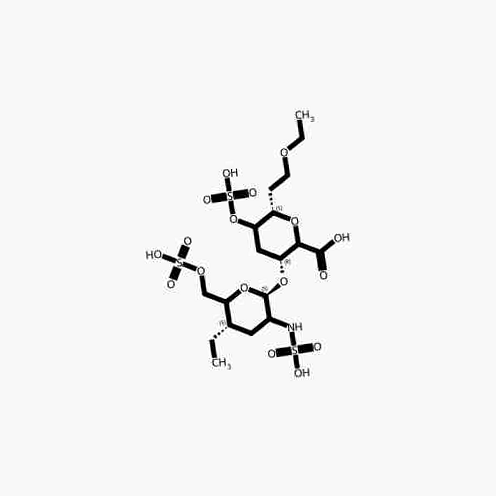 CCOCC[C@@H]1OC(C(=O)O)[C@H](O[C@@H]2OC(COS(=O)(=O)O)[C@@H](CC)CC2NS(=O)(=O)O)CC1OS(=O)(=O)O